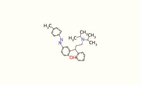 Cc1ccc(N=Nc2ccc(O)c(C(CCN(C(C)C)C(C)C)c3ccccc3)c2)cc1